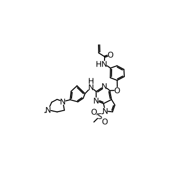 C=CC(=O)Nc1cccc(Oc2nc(Nc3ccc(N4CCN(C)CC4)cc3)nc3c2ccn3S(C)(=O)=O)c1